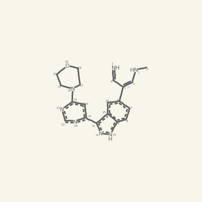 CN/C=C(\C=N)c1ccc2[nH]nc(-c3cc(N4CCOCC4)ncn3)c2c1